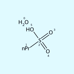 O.[CH2]CCS(=O)(=O)O